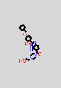 O=C(c1ccc2nc(-c3ccc(OCc4ccccc4)cc3O)[nH]c2c1)N1CCN(CCO)CC1